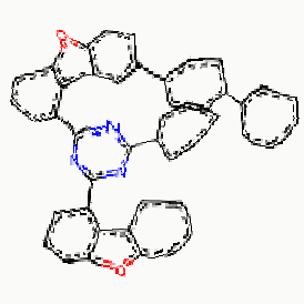 c1ccc(-c2ccc(-c3ccc4oc5cccc(-c6nc(-c7ccccc7)nc(-c7cccc8oc9ccccc9c78)n6)c5c4c3)cc2)cc1